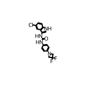 O=C(Nc1ccc(N2CC(F)(F)C2)cc1)Nc1c[nH]c2ccc(Cl)cc12